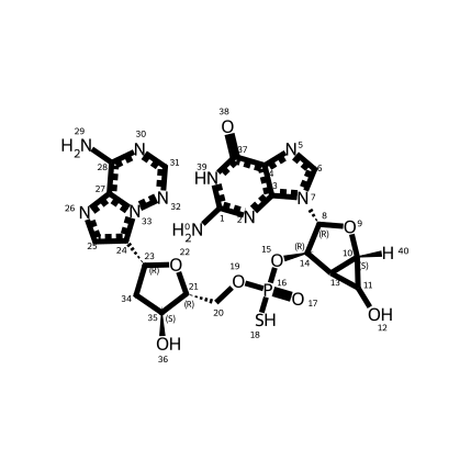 Nc1nc2c(ncn2[C@@H]2O[C@@H]3C(O)C3[C@H]2OP(=O)(S)OC[C@H]2O[C@@H](c3cnc4c(N)ncnn34)C[C@@H]2O)c(=O)[nH]1